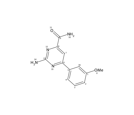 COc1cccc(-c2cc(C(N)=O)nc(N)n2)c1